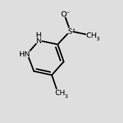 CC1=CNNC([S+](C)[O-])=C1